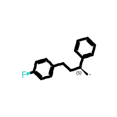 [CH2][C@@H](CCc1ccc(F)cc1)c1ccccc1